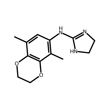 Cc1cc(NC2=NCCN2)c(C)c2c1OCCO2